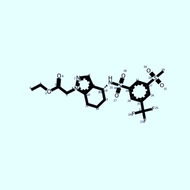 CCOC(=O)Cn1ncc2c1CCC[C@H]2NS(=O)(=O)c1cc(C(F)(F)F)cc(S(C)(=O)=O)c1